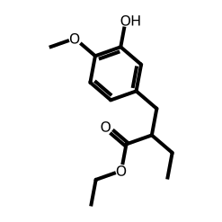 CCOC(=O)C(CC)Cc1ccc(OC)c(O)c1